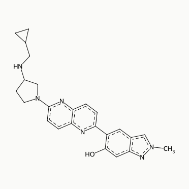 Cn1cc2cc(-c3ccc4nc(N5CCC(NCC6CC6)C5)ccc4n3)c(O)cc2n1